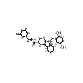 Cc1ccc(C)c(Cn2c3c(c4ccccc42)CC(C(=O)NCc2cccc(F)c2)CC3)c1